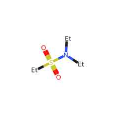 CCN(CC)S(=O)(=O)CC